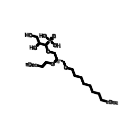 CCCCCCCCCCCCCCCCCCOC[C@@H](COC(C(O)CO)P(=O)(O)O)OCCCCCCCCCCCC